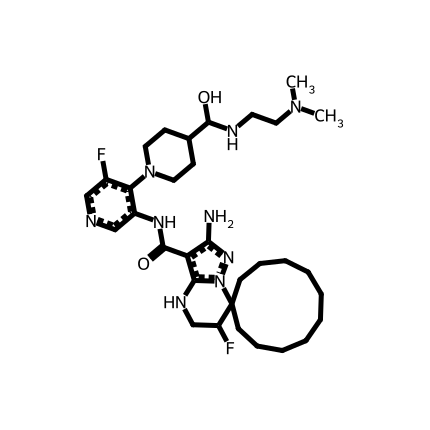 CN(C)CCNC(O)C1CCN(c2c(F)cncc2NC(=O)c2c(N)nn3c2NCC(F)C32CCCCCCCCCC2)CC1